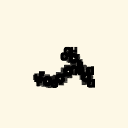 O=C(O)c1ccc(Cn2cc(-c3ccc(Cl)cc3Cl)nc2Cc2ccc(-c3ccc(Oc4ccc(C(F)(F)F)cc4)cc3)cc2)cc1